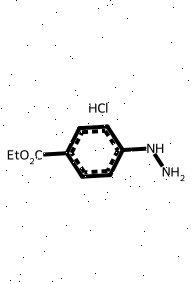 CCOC(=O)c1ccc(NN)cc1.Cl